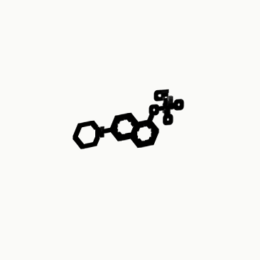 O=S(=O)(Oc1cccc2cc(N3CCCCC3)ccc12)C(F)(F)F